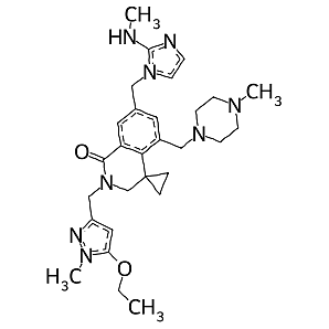 CCOc1cc(CN2CC3(CC3)c3c(CN4CCN(C)CC4)cc(Cn4ccnc4NC)cc3C2=O)nn1C